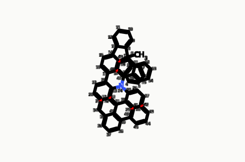 CC1(c2ccccc2)c2ccccc2-c2ccc(-c3ccccc3N(c3ccccc3-c3cccc4cccc(-c5ccccc5)c34)c3cccc4ccccc34)cc21